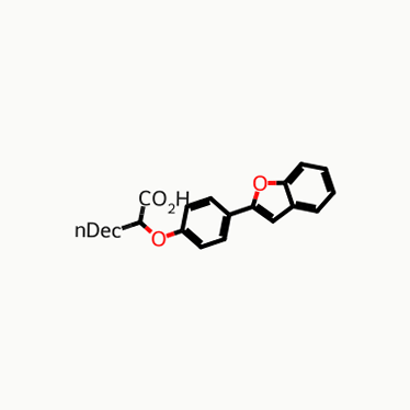 CCCCCCCCCCC(Oc1ccc(-c2cc3ccccc3o2)cc1)C(=O)O